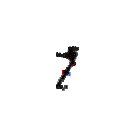 COc1ccc(C(OCC2(C)CN(C(=O)CCCCCCCCC(=O)NCCCCCCCCCCCC(=O)O)CC2(C)CO)(c2ccccc2)c2ccc(OC)cc2)cc1